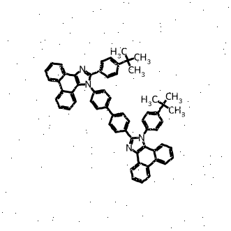 CC(C)(C)c1ccc(-c2nc3c4ccccc4c4ccccc4c3n2-c2ccc(-c3ccc(-c4nc5c6ccccc6c6ccccc6c5n4-c4ccc(C(C)(C)C)cc4)cc3)cc2)cc1